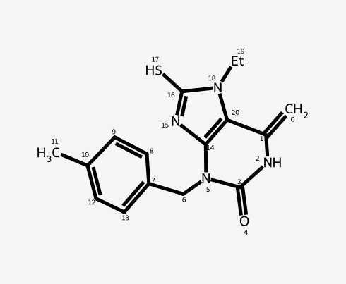 C=C1NC(=O)N(Cc2ccc(C)cc2)c2nc(S)n(CC)c21